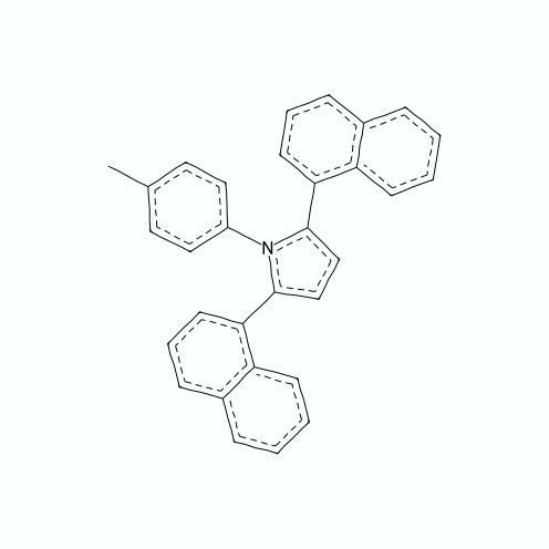 Cc1ccc(-n2c(-c3cccc4ccccc34)ccc2-c2cccc3ccccc23)cc1